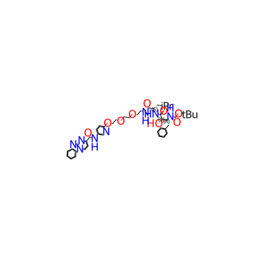 CC(C)C[C@H](NC(=O)[C@@H](O)[C@@H](Cc1ccccc1)NC(=O)OC(C)(C)C)C(=O)NCCOCCOCCOc1ccc(NC(=O)c2ccn3c(n2)nc2ccccc23)cn1